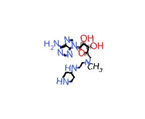 CN(CCNC1CCNCC1)C[C@H]1O[C@@H](n2cnc3c(N)ncnc32)[C@H](O)[C@@H]1O